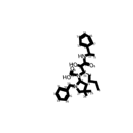 CCCC[C@@H](C(O)C(=O)NC(C)c1ccccc1)N(C(=O)O)C1CC(C)(C)CN1Cc1ccccc1